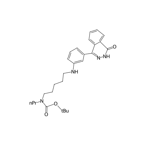 CCCN(CCCCCNc1cccc(-c2n[nH]c(=O)c3ccccc23)c1)C(=O)OC(C)(C)C